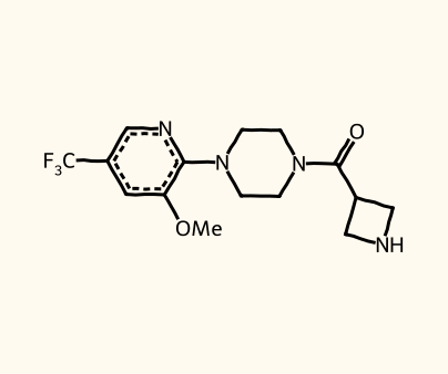 COc1cc(C(F)(F)F)cnc1N1CCN(C(=O)C2CNC2)CC1